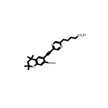 CCCCCCc1cc2c(cc1C#Cc1cnc(CCCCC(=O)OCC)cn1)C(C)(C)CC(C)(C)O2